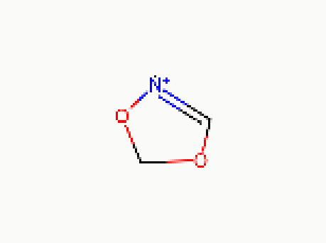 C1=[N+]OCO1